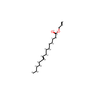 C=CCOC(=O)CCCCCCCC=CCCCCC